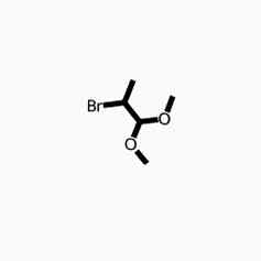 COC(OC)C(C)Br